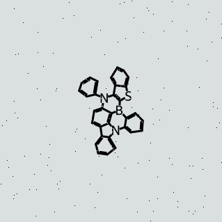 c1ccc(N2c3ccc4c5ccccc5n5c4c3B(c3ccccc3-5)c3sc4ccccc4c32)cc1